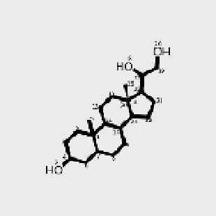 CC12CCC(O)CC1CCC1C2CC[C@]2(C)C(C(O)CO)CCC12